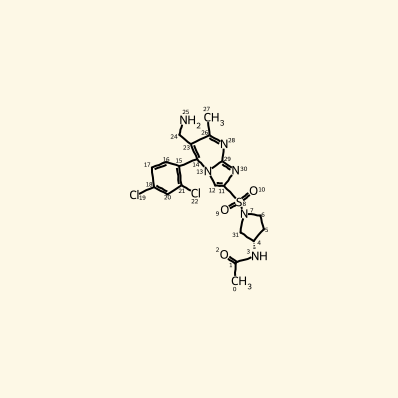 CC(=O)N[C@H]1CCN(S(=O)(=O)c2cn3c(-c4ccc(Cl)cc4Cl)c(CN)c(C)nc3n2)C1